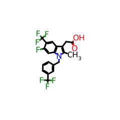 Cc1c(CC(=O)O)c2cc(C(F)(F)F)c(F)cc2n1Cc1cccc(C(F)(F)F)c1